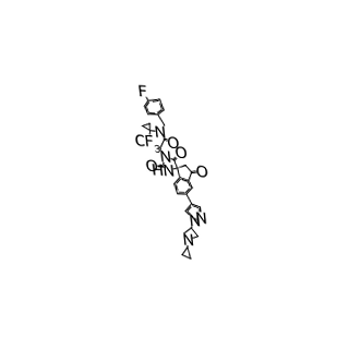 O=C1C[C@]2(NC(=O)N(CC(=O)N(Cc3ccc(F)cc3)C3(C(F)(F)F)CC3)C2=O)c2ccc(-c3cnn(C4CN(C5CC5)C4)c3)cc21